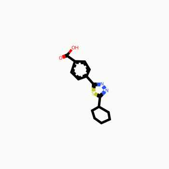 O=C(O)c1ccc(-c2nnc(C3CCCCC3)s2)cc1